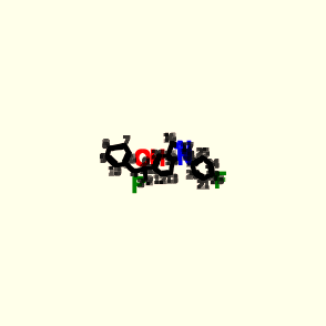 OC(CF)(Cc1ccccc1)c1ccc2c(cnn2-c2ccc(F)cc2)c1